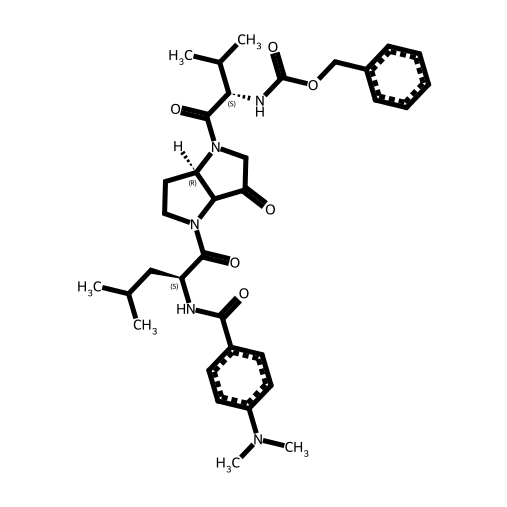 CC(C)C[C@H](NC(=O)c1ccc(N(C)C)cc1)C(=O)N1CC[C@@H]2C1C(=O)CN2C(=O)[C@@H](NC(=O)OCc1ccccc1)C(C)C